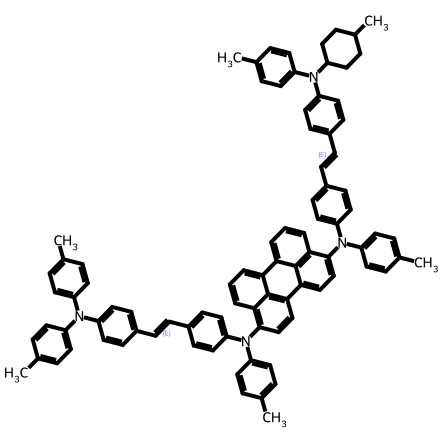 Cc1ccc(N(c2ccc(C)cc2)c2ccc(/C=C/c3ccc(N(c4ccc(C)cc4)c4ccc5c6ccc(N(c7ccc(C)cc7)c7ccc(/C=C/c8ccc(N(c9ccc(C)cc9)C9CCC(C)CC9)cc8)cc7)c7cccc(c8cccc4c85)c76)cc3)cc2)cc1